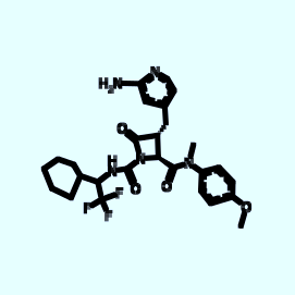 COc1ccc(N(C)C(=O)[C@@H]2[C@@H](Cc3ccnc(N)c3)C(=O)N2C(=O)NC(C2CCCCC2)C(F)(F)F)cc1